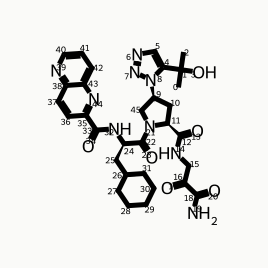 CC(C)(O)c1cnnn1[C@H]1C[C@@H](C(=O)NCC(=O)C(N)=O)N(C(=O)[C@@H](CC2CCCCC2)NC(=O)c2ccc3ncccc3n2)C1